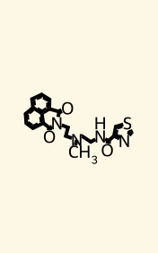 CN(CCNC(=O)c1cscn1)CCN1C(=O)c2cccc3cccc(c23)C1=O